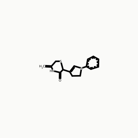 C=C1CSC(C2=CN(c3ccccc3)CC2)C(=O)N1